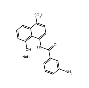 Nc1cccc(C(=O)Nc2ccc(S(=O)(=O)O)c3cccc(O)c23)c1.[NaH]